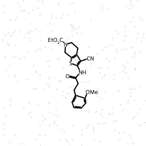 CCOC(=O)N1CCc2c(sc(NC(=O)CCc3ccccc3OC)c2C#N)C1